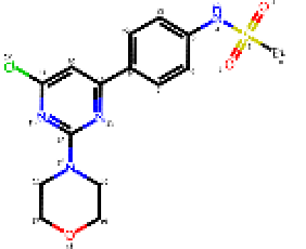 CCS(=O)(=O)Nc1ccc(-c2cc(Cl)nc(N3CCOCC3)n2)cc1